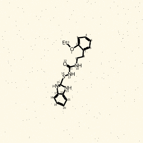 CCOc1ccccc1CCNC(=O)NSc1nc2ccccc2[nH]1